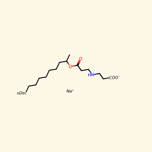 CCCCCCCCCCCCCCCCCC(C)OC(=O)CCNCCC(=O)[O-].[Na+]